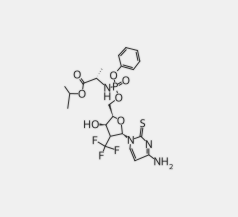 CC(C)OC(=O)[C@H](C)NP(=O)(OC[C@H]1O[C@@H](n2ccc(N)nc2=S)C(C(F)(F)F)[C@H]1O)Oc1ccccc1